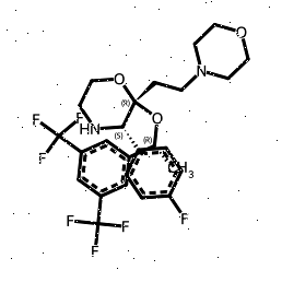 C[C@@H](O[C@@]1(CCN2CCOCC2)OCCN[C@H]1c1ccc(F)cc1)c1cc(C(F)(F)F)cc(C(F)(F)F)c1